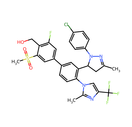 CC1=NN(c2ccc(Cl)cc2)C(c2cc(-c3cc(F)c(CO)c(S(C)(=O)=O)c3)ccc2-n2cc(C(F)(F)F)nc2C)C1